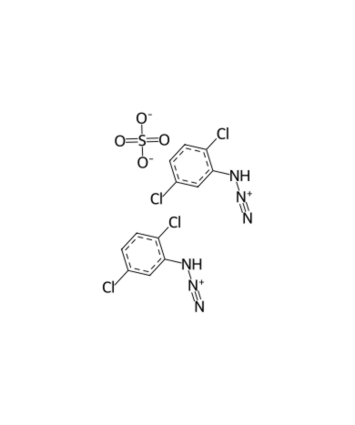 N#[N+]Nc1cc(Cl)ccc1Cl.N#[N+]Nc1cc(Cl)ccc1Cl.O=S(=O)([O-])[O-]